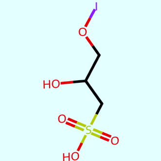 O=S(=O)(O)CC(O)COI